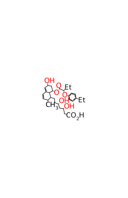 CCc1ccc(OC(CC)C(=O)OC2CC(O)C=C3C=CC(C)C(CCC(O)CC(O)CC(=O)O)C32)cc1